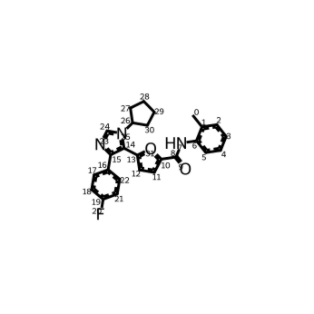 Cc1ccccc1NC(=O)c1ccc(-c2c(-c3ccc(F)cc3)ncn2C2CCCC2)o1